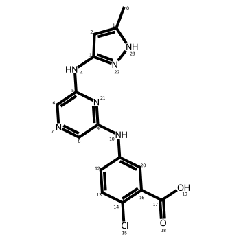 Cc1cc(Nc2cncc(Nc3ccc(Cl)c(C(=O)O)c3)n2)n[nH]1